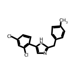 Cc1ccc(Cc2ncc(-c3ccc(Cl)cc3Cl)[nH]2)cc1